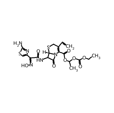 C=CC1=C(C(=O)OC(C)OC(=O)OCC)N2C(=O)C(NC(=O)C(=NO)c3csc(N)n3)[C@@H]2SC1